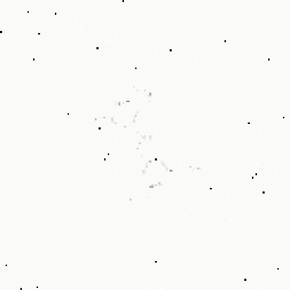 COc1cc(CNc2nc(Cl)nc3[nH]cnc23)cc(OC)c1